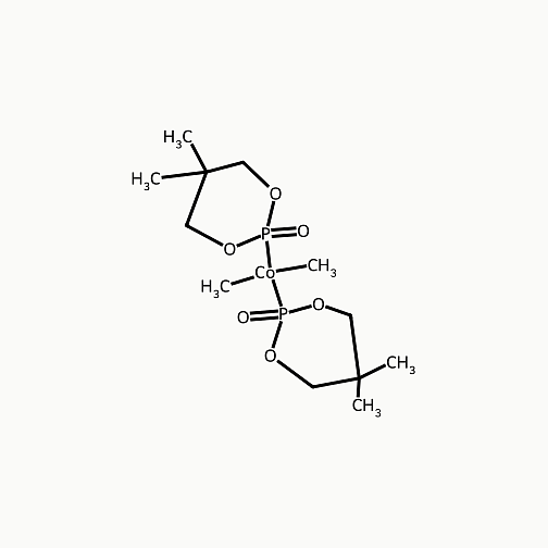 CC1(C)CO[P](=O)([Co]([CH3])([CH3])[P]2(=O)OCC(C)(C)CO2)OC1